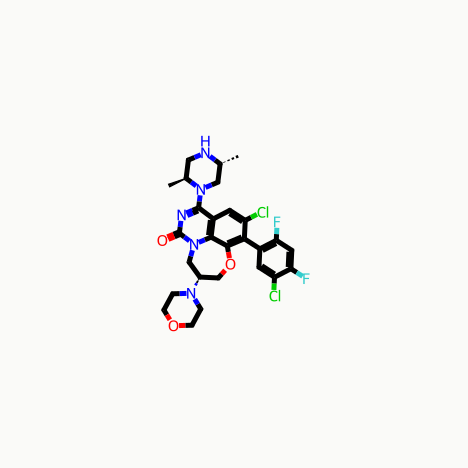 C[C@@H]1CN(c2nc(=O)n3c4c(c(-c5cc(Cl)c(F)cc5F)c(Cl)cc24)OC[C@H](N2CCOCC2)C3)[C@@H](C)CN1